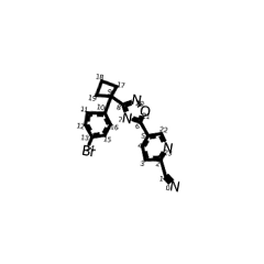 N#Cc1ccc(-c2nc(C3(c4ccc(Br)cc4)CCC3)no2)cn1